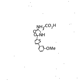 COc1cccc(-c2ccc(C(=O)N[C@@H](CCC(=O)O)C(N)=O)s2)c1